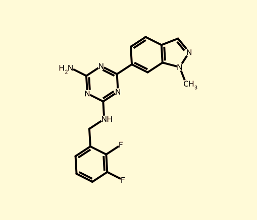 Cn1ncc2ccc(-c3nc(N)nc(NCc4cccc(F)c4F)n3)cc21